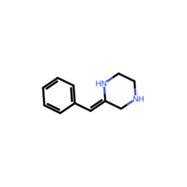 C(=C1CNCCN1)c1ccccc1